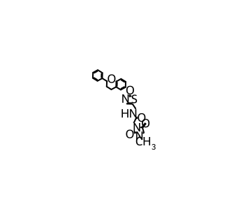 CN1CC(=O)N(CC(=O)NCc2cnc(Oc3ccc4c(c3)CCC(c3ccccc3)O4)s2)C1=O